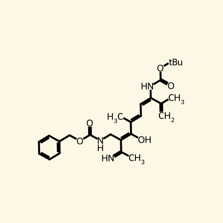 C=C(C)\C(=C/C=C(C)/C(O)=C(\CNC(=O)OCc1ccccc1)C(C)=N)NC(=O)OC(C)(C)C